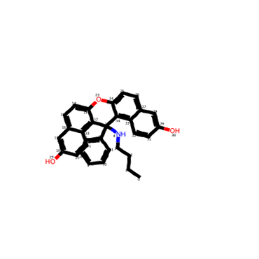 CCCCNC1(c2ccccc2)c2c(ccc3cc(O)ccc23)Oc2ccc3cc(O)ccc3c21